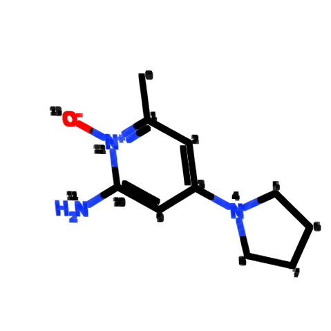 Cc1cc(N2CCCC2)cc(N)[n+]1[O-]